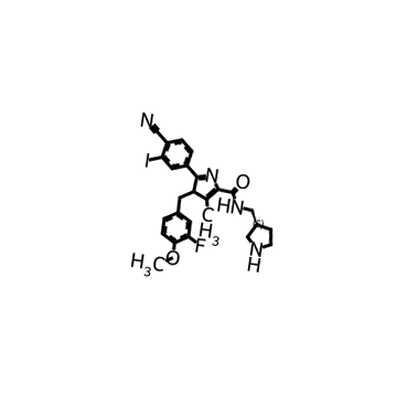 COc1ccc(CC2C(c3ccc(C#N)c(I)c3)=NC(C(=O)NC[C@H]3CCNC3)=C2C)cc1F